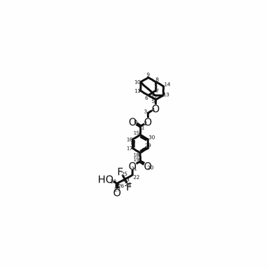 O=C(OCOC1C2CC3CC(C2)CC1C3)c1ccc(C(=O)OCC(F)(F)C(=O)O)cc1